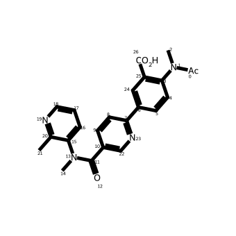 CC(=O)N(C)c1ccc(-c2ccc(C(=O)N(C)c3cccnc3C)cn2)cc1C(=O)O